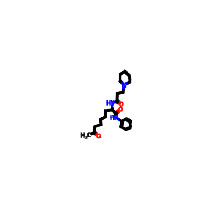 CC(=O)CCCCCC(NC(=O)CCN1CCCCC1)C(=O)Nc1ccccc1